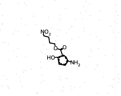 Nc1ccc(O)c(C(=O)OCCCC[N+](=O)[O-])c1